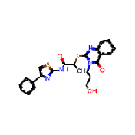 CC(Sc1nc2ccccc2c(=O)n1CCCO)C(=O)Nc1nc(-c2ccccc2)cs1